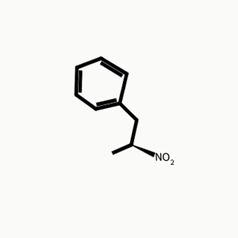 C[C@@H](Cc1ccccc1)[N+](=O)[O-]